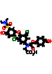 CN(C)S(=O)(=O)c1cc(Oc2c(Cl)cc(N(CC(=O)O)C(=O)Oc3ccc(O)cc3)cc2Cl)ccc1O